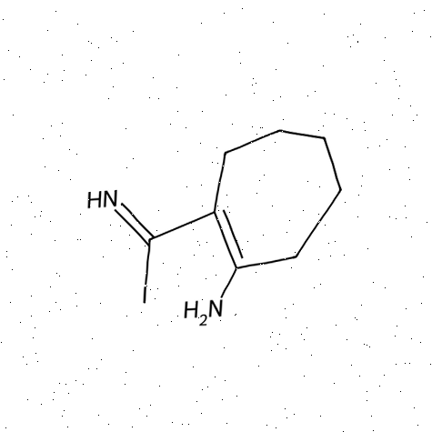 N=C(I)C1=C(N)CCCCC1